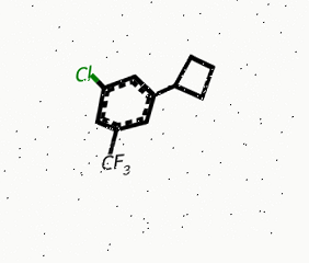 FC(F)(F)c1cc(Cl)cc([C]2CCC2)c1